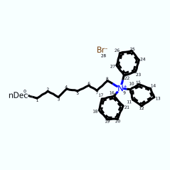 CCCCCCCCCCCCCCCCCC[N+](c1ccccc1)(c1ccccc1)c1ccccc1.[Br-]